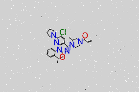 C=CC(=O)N1CCN(/C(=N/C)c2cc(Cl)c(N3CCCC3)nc2N(C=O)c2ccccc2C(C)C)C(C)C1